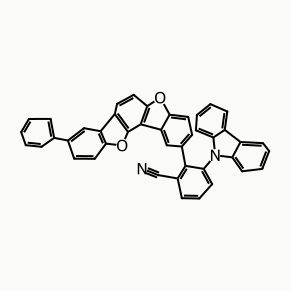 N#Cc1cccc(-n2c3ccccc3c3ccccc32)c1-c1ccc2oc3ccc4c5cc(-c6ccccc6)ccc5oc4c3c2c1